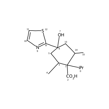 CC(C)C1(C(=O)O)C(C)CC(O)(c2nccs2)CC1C